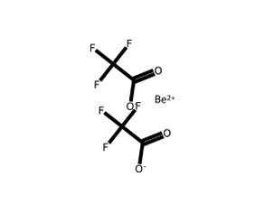 O=C([O-])C(F)(F)F.O=C([O-])C(F)(F)F.[Be+2]